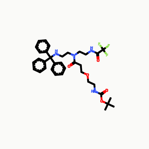 CC(C)(C)OC(=O)NCCOCCC(=O)N(CCNC(=O)C(F)(F)F)CCNC(c1ccccc1)(c1ccccc1)c1ccccc1